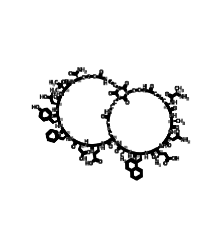 C[C@H](N)C(=O)N[C@H]1CSCC(=O)NCCn2c(=O)n3c(=O)n(c2=O)CCNC(=O)CSC[C@H](NC(=O)[C@@H](C)NC(=O)[C@H](Cc2cccc4ccccc24)NC(=O)[C@H]([C@@H](C)CC(=O)O)NC(=O)[C@H](CC(N)=O)NC(=O)[C@@H](C)NC1=O)C(=O)N[C@@H](CCC(=O)O)C(=O)N[C@@H](CC(=O)O)C(=O)N[C@@H](Cc1ccccc1)C(=O)N[C@@H](Cc1ccc(O)cc1)C(=O)N[C@@H](CC(=O)O)C(=O)N[C@@H](C(C)(C)C)C(=O)N[C@H](C(N)=O)CSCC(=O)NCC3